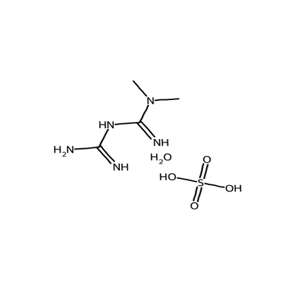 CN(C)C(=N)NC(=N)N.O.O=S(=O)(O)O